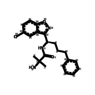 CC(C)(N)C(=O)N[C@H](CCCc1ccccc1)c1noc2ccc(Cl)cc12